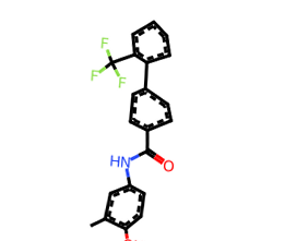 Cc1cc(NC(=O)c2ccc(-c3ccccc3C(F)(F)F)cc2)ccc1O